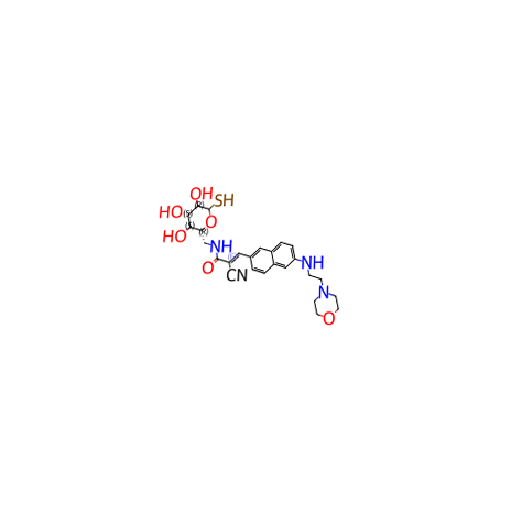 N#C/C(=C\c1ccc2cc(NCCN3CCOCC3)ccc2c1)C(=O)NC[C@H]1OC(S)[C@H](O)[C@@H](O)[C@@H]1O